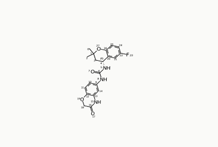 CC1(C)C[C@@H](NC(=O)Nc2ccc3c(c2)NC(=O)CO3)c2cc(F)ccc2O1